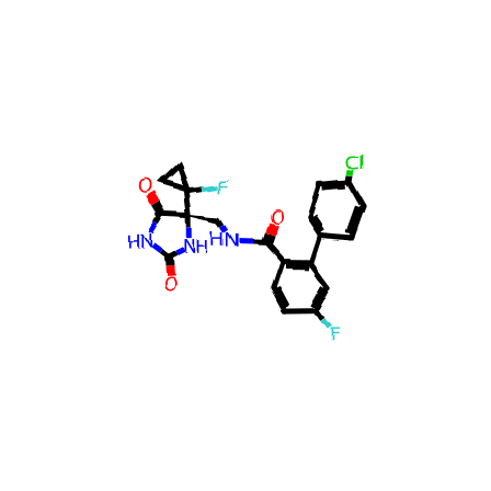 O=C1NC(=O)[C@](CNC(=O)c2ccc(F)cc2-c2ccc(Cl)cc2)(C2(F)CC2)N1